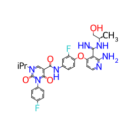 CC(C)n1cc(C(=O)Nc2ccc(Oc3ccnc(N)c3C(=N)N[C@H](C)CO)c(F)c2)c(=O)n(-c2ccc(F)cc2)c1=O